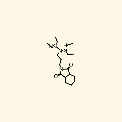 CC[SiH](CC)N(CCCN1C(=O)C2CCCCC2C1=O)[SiH](CC)CC